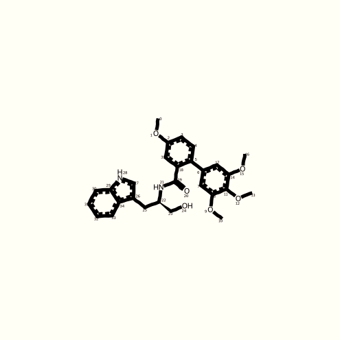 COc1ccc(-c2cc(OC)c(OC)c(OC)c2)c(C(=O)N[C@@H](CO)Cc2c[nH]c3ccccc23)c1